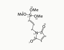 CO[Si](C=CCN1C(=O)C=CC1=O)(OC)OC